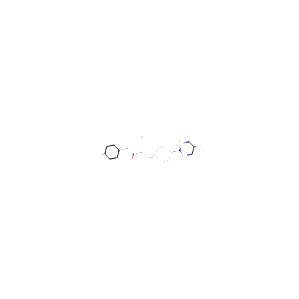 Cl.O=C(CCN1CCN(c2ncc(F)cn2)CC1)Cc1ccc(F)cc1